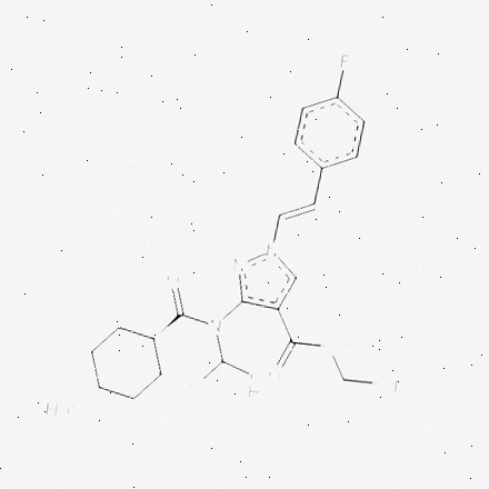 CCOC(=O)c1cn(/C=C/c2ccc(F)cc2)nc1N(C(=O)[C@H]1CC[C@H](C)CC1)C(C)C